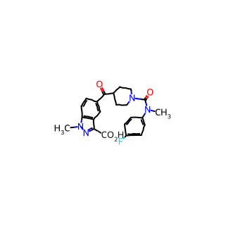 CN(C(=O)N1CCC(C(=O)c2ccc3c(c2)c(C(=O)O)nn3C)CC1)c1ccc(F)cc1